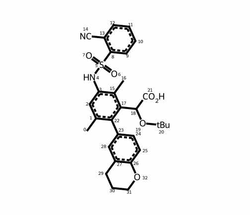 Cc1cc(NS(=O)(=O)c2ccccc2C#N)c(C)c(C(OC(C)(C)C)C(=O)O)c1-c1ccc2c(c1)CCCO2